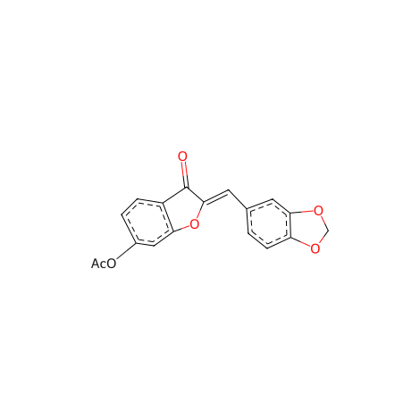 CC(=O)Oc1ccc2c(c1)OC(=Cc1ccc3c(c1)OCO3)C2=O